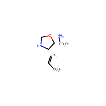 C1COCN1.C=CC(=O)O.CCOC(N)=O